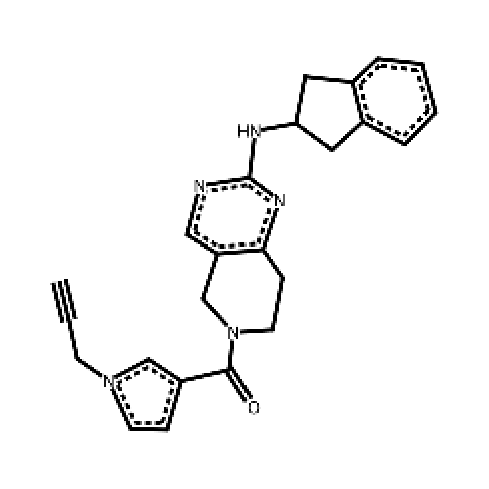 C#CCn1ccc(C(=O)N2CCc3nc(NC4Cc5ccccc5C4)ncc3C2)c1